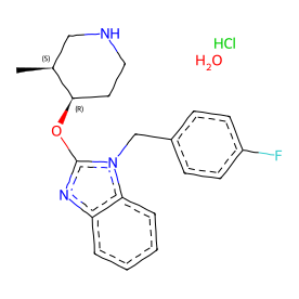 C[C@H]1CNCC[C@H]1Oc1nc2ccccc2n1Cc1ccc(F)cc1.Cl.O